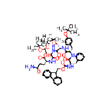 CC(C)(C)OC[C@H](NC(=O)[C@H](Cc1ccc(OC(C)(C)C)cc1)NC(=O)[C@H](Cc1ccccc1)NC(=O)OCC1c2ccccc2-c2ccccc21)C(=O)N[C@@H](CC(=O)OC(C)(C)C)C(=O)N[C@@H](CCC(N)=O)C(=O)O